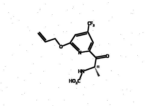 C=CCOc1cc(C(F)(F)F)cc(C(=O)[C@H](C)NC(=O)O)n1